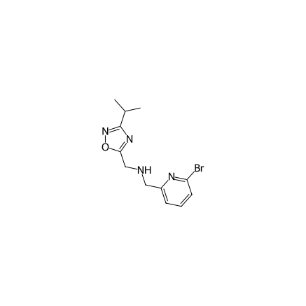 CC(C)c1noc(CNCc2cccc(Br)n2)n1